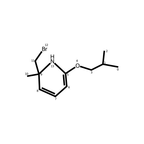 CC(C)COC1=CC=CC(C)(CBr)N1